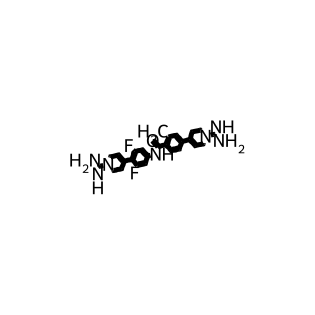 Cc1cc(C2=CCN(C(=N)N)CC2)ccc1C(=O)Nc1cc(F)c(C2=CCN(C(=N)N)CC2)c(F)c1